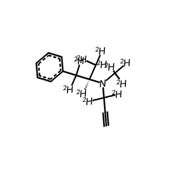 [2H]C([2H])([2H])N(C([2H])([2H])C#C)[C@]([2H])(C([2H])([2H])[2H])C([2H])([2H])c1ccccc1